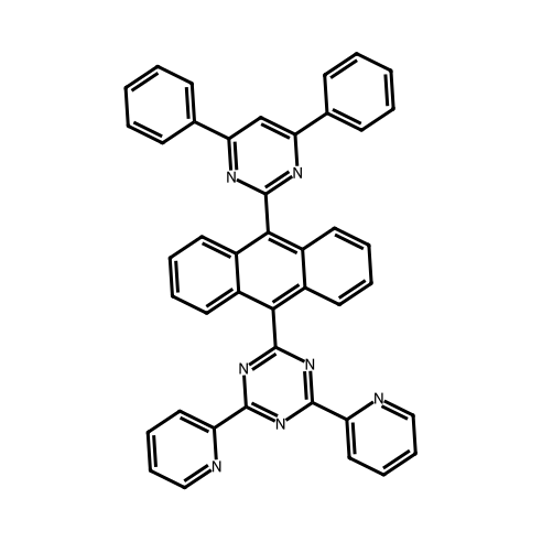 c1ccc(-c2cc(-c3ccccc3)nc(-c3c4ccccc4c(-c4nc(-c5ccccn5)nc(-c5ccccn5)n4)c4ccccc34)n2)cc1